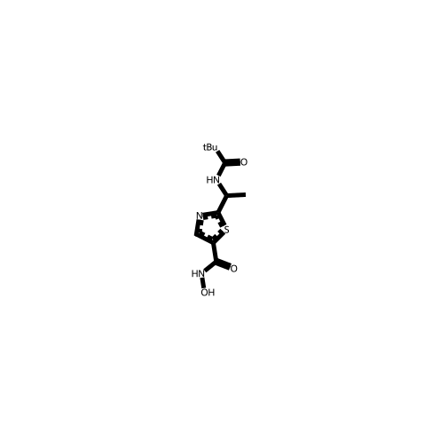 CC(NC(=O)C(C)(C)C)c1ncc(C(=O)NO)s1